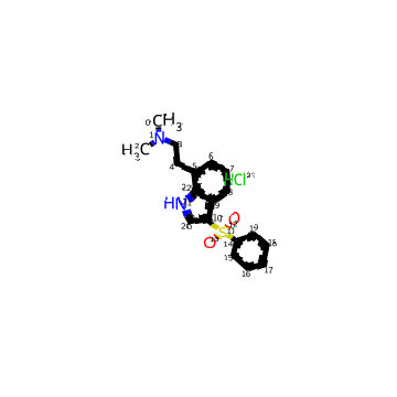 CN(C)CCc1cccc2c(S(=O)(=O)c3ccccc3)c[nH]c12.Cl